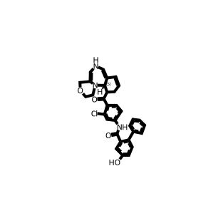 O=C(Nc1ccc(C(=O)C2CC=CC3=CNC=C4COCCN4[C@H]32)c(Cl)c1)c1cc(O)ccc1-c1ccccc1